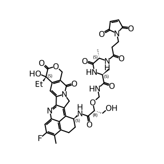 CC[C@@]1(O)C(=O)OCc2c1cc1n(c2=O)Cc2c-1nc1cc(F)c(C)c3c1c2[C@@H](NC(=O)[C@@H](CO)OCNC(=O)[C@H](C)NC(=O)[C@H](C)NC(=O)CCN1C(=O)C=CC1=O)CC3